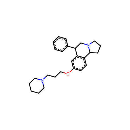 c1ccc(C2CN3CCCC3c3ccc(OCCCN4CCCCC4)cc32)cc1